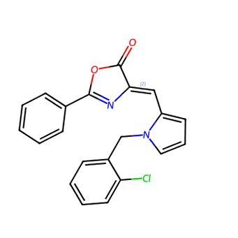 O=C1OC(c2ccccc2)=N/C1=C\c1cccn1Cc1ccccc1Cl